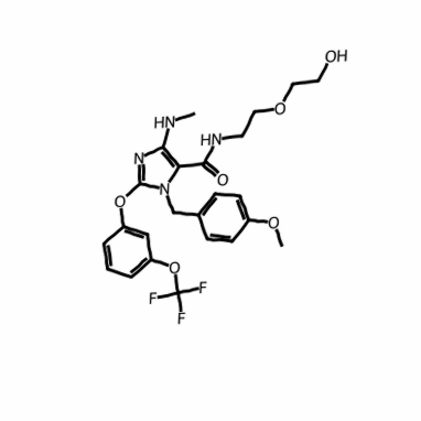 CNc1nc(Oc2cccc(OC(F)(F)F)c2)n(Cc2ccc(OC)cc2)c1C(=O)NCCOCCO